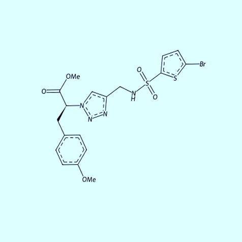 COC(=O)[C@H](Cc1ccc(OC)cc1)n1cc(CNS(=O)(=O)c2ccc(Br)s2)nn1